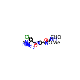 CO/C(=C\NC=O)C(=O)N(C)CCC1CCN(C(=O)/C=C/c2ccc(Cl)cc2CN(N)/N=C(/C)N)CC1